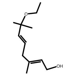 CCOC(C)(C)C=CCC(C)=CCO